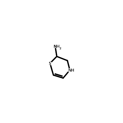 NC1CNC=CS1